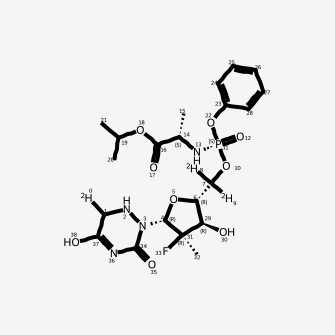 [2H]C1NN([C@@H]2O[C@H](C([2H])([2H])O[P@@](=O)(N[C@@H](C)C(=O)OC(C)C)Oc3ccccc3)[C@@H](O)[C@@]2(C)F)C(=O)N=C1O